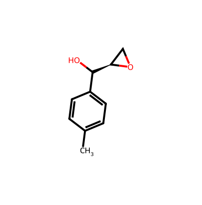 Cc1ccc(C(O)[C@H]2CO2)cc1